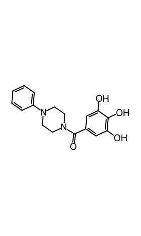 O=C(c1cc(O)c(O)c(O)c1)N1CCN(c2ccccc2)CC1